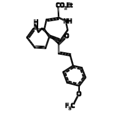 CCOC(=O)C1=CC23C(=CCN1)C=CC=C2NCC3C(=O)C=Cc1ccc(OC(F)(F)F)cc1